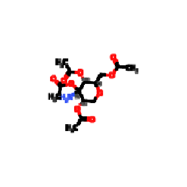 CC(=O)OC[C@H]1OC[C@H](OC(C)=O)[C@](N)(OC(C)=O)[C@@H]1OC(C)=O